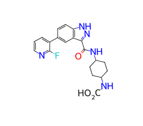 O=C(O)NC1CCC(NC(=O)c2n[nH]c3ccc(-c4cccnc4F)cc23)CC1